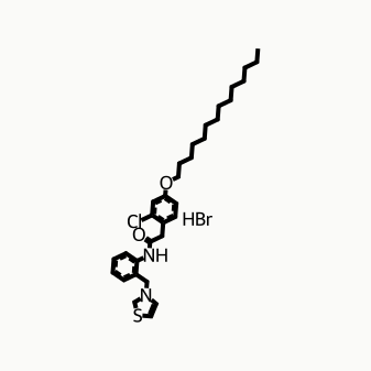 Br.CCCCCCCCCCCCCCOc1ccc(CC(=O)Nc2ccccc2CN2C=CSC2)c(Cl)c1